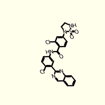 O=C(Nc1ccc(Cl)c(-c2ncc3ccccc3n2)c1)c1ccc(N2CCNS2(=O)=O)cc1Cl